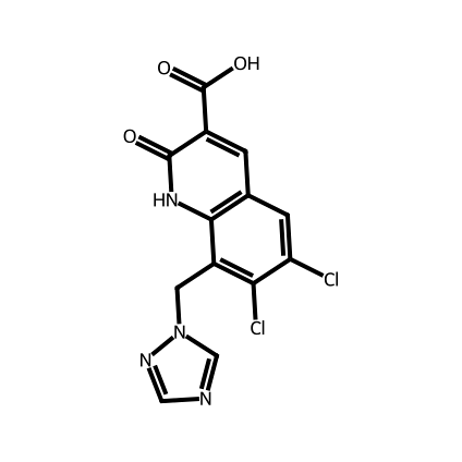 O=C(O)c1cc2cc(Cl)c(Cl)c(Cn3cncn3)c2[nH]c1=O